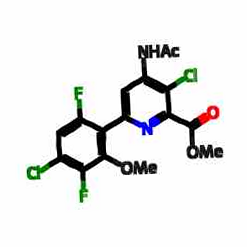 COC(=O)c1nc(-c2c(F)cc(Cl)c(F)c2OC)cc(NC(C)=O)c1Cl